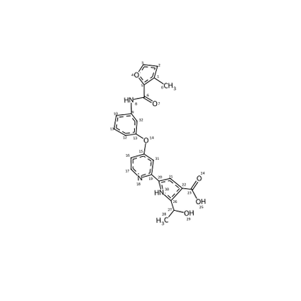 Cc1ccoc1C(=O)Nc1cccc(Oc2ccnc(-c3cc(C(=O)O)c(C(C)O)[nH]3)c2)c1